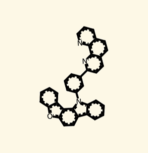 c1cc(-c2ccc3ccc4cccnc4c3n2)cc(-n2c3ccccc3c3ccc4oc5ccccc5c4c32)c1